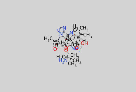 CC(C)[C@@H](C)[C@@]1(C)CC[C@]2(C)[C@H]3CC[C@@H]4[C@@]5(C)COC[C@@]4(C[C@H](n4ncnc4-c4cc(C(N)=O)ccn4)C5)C3=C(OC[C@](C)(N)C(C)(C)C)C[C@@]2(C)[C@@H]1C(=O)O